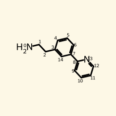 NCCc1cccc(-c2ccccn2)c1